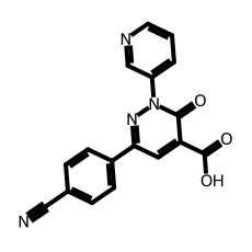 N#Cc1ccc(-c2cc(C(=O)O)c(=O)n(-c3cccnc3)n2)cc1